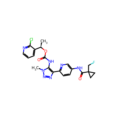 C[C@@H](OC(=O)Nc1c(-c2ccc(NC(=O)C3(CF)CC3)cn2)nnn1C)c1cccnc1Cl